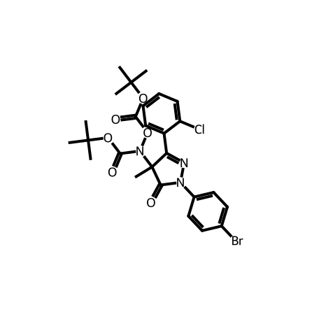 CC(C)(C)OC(=O)ON(C(=O)OC(C)(C)C)C1(C)C(=O)N(c2ccc(Br)cc2)N=C1c1ccccc1Cl